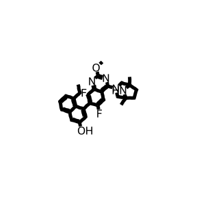 CCc1cccc2cc(O)cc(-c3c(F)cc4c(N5CC6(C)CCC(C)(C5)N6)nc(OC)nc4c3F)c12